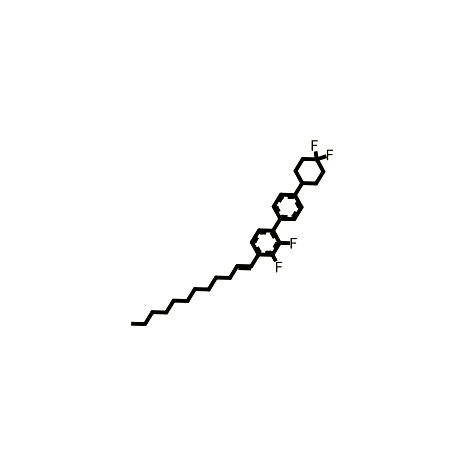 CCCCCCCCCCC=Cc1ccc(-c2ccc(C3CCC(F)(F)CC3)cc2)c(F)c1F